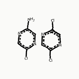 Clc1cnc(Cl)cn1.Nc1cnc(Cl)cn1